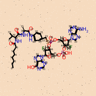 CCCCCCCC(=O)N[C@H](C(=O)N[C@@H](C)C(=O)Nc1ccc(CSP2(=O)OC[C@H]3O[C@@H](n4cnc5c(N)ncnc54)[C@H](F)[C@@H]3OP(=O)(O)OC[C@H]3O[C@@H](n4cnc5c(O)ncnc54)[C@H](F)[C@@H]3O2)cc1)C(C)C